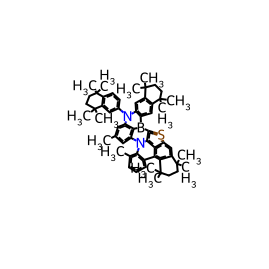 Cc1cc2c3c(c1)N1c4c(C)cccc4-c4c5c(cc6sc(c1c46)B3c1cc3c(cc1N2c1ccc2c(c1)C(C)(C)CCC2(C)C)C(C)(C)CCC3(C)C)C(C)(C)CCC5(C)C